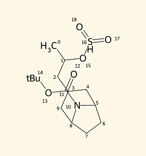 CC(CC1CC2CCC(C1)N2C(=O)OC(C)(C)C)O[SH](=O)=O